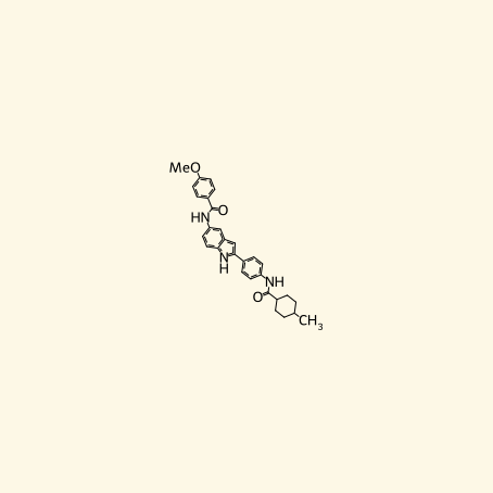 COc1ccc(C(=O)Nc2ccc3[nH]c(-c4ccc(NC(=O)C5CCC(C)CC5)cc4)cc3c2)cc1